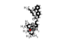 CCCCCCNC(=O)N(CCc1ccc(NC(P2(=O)N(C)CC(C)(C)CN2C)P2(=O)N(C)CC(C)(C)CN2C)s1)Cc1ccc(-c2ccccc2C(F)(F)F)cc1